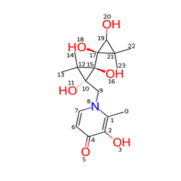 Cc1c(O)c(=O)ccn1C[C@@]1(O)C(C)(C)[C@]1(O)[C@]1(O)C(O)C1(C)C